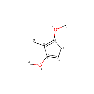 COC1=CCC(OC)=C1C